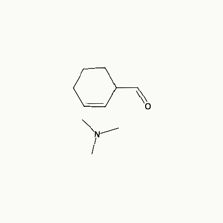 CN(C)C.O=CC1C=CCCC1